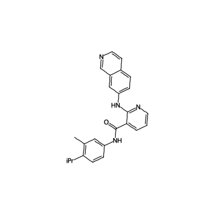 Cc1cc(NC(=O)c2cccnc2Nc2ccc3ccncc3c2)ccc1C(C)C